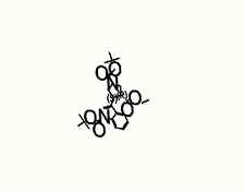 CCOC(=O)[C@H]1CN(C(=O)OC(C)(C)C)C[C@@H]1c1cn(C(=O)OC(C)(C)C)c2ccccc12